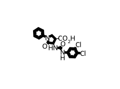 O=C(Nc1ccc(Cl)c(Cl)c1)N[C@@H]1C(=O)N(c2ccccc2)C[C@@H]1C(=O)O